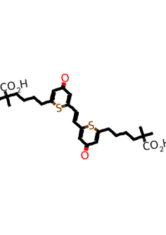 CC(C)(CCCCc1cc(=O)cc(C=Cc2cc(=O)cc(CCCCC(C)(C)C(=O)O)s2)s1)C(=O)O